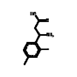 Cc1ccc(C(N)CC(=O)O)c(C)c1